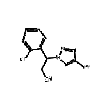 CC(C)c1cnn(C(CC#N)c2ccccc2Cl)c1